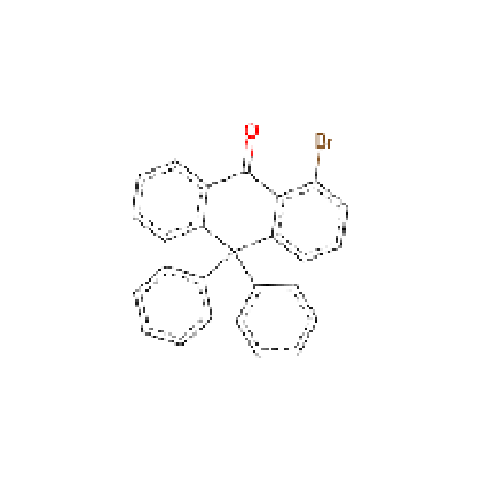 O=C1c2ccccc2C(c2ccccc2)(c2ccccc2)c2cccc(Br)c21